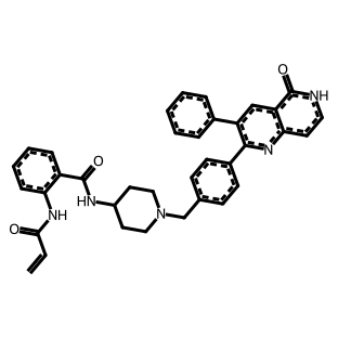 C=CC(=O)Nc1ccccc1C(=O)NC1CCN(Cc2ccc(-c3nc4cc[nH]c(=O)c4cc3-c3ccccc3)cc2)CC1